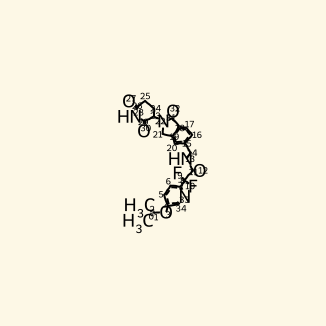 CC(C)Oc1ccc(C(F)(F)C(=O)NCc2ccc3c(c2)CN(C2CCC(=O)NC2=O)C3=O)nc1